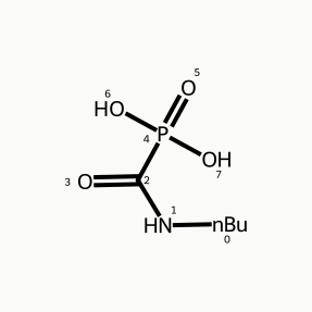 CCCCNC(=O)P(=O)(O)O